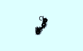 Clc1cccc(N2CCN(CCSc3nnc4ccccn34)CC2)c1